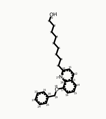 OCCCCCCCCCc1ccc2cccc(OCc3ccccc3)c2n1